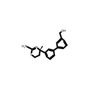 C[C@@]1(c2cccc(-c3cccc(CO)c3)c2)CCSC(N)=N1